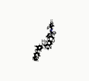 Cc1cc(Nc2ncnc3cc4c(nc23)N2CCN(C(=O)/C=C/C3(F)CN(C)C3)[C@H](CO4)C2)ccc1Oc1ccn2ccnc2c1